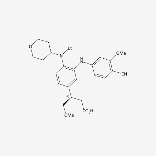 CCN(c1ccc([C@H](COC)CC(=O)O)cc1Nc1ccc(C#N)c(OC)c1)C1CCOCC1